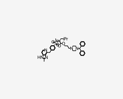 Cc1nc2c(Cc3ccc(S(=O)(=O)N(C)[C@@H](CC(C)C)C(=O)OCCCN4CCN(C(c5ccccc5)c5ccccc5)CC4)cc3)nccc2[nH]1